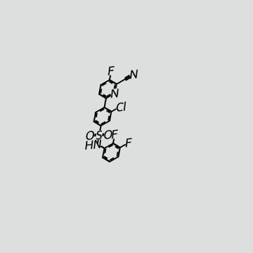 N#Cc1nc(-c2ccc(S(=O)(=O)Nc3cccc(F)c3F)cc2Cl)ccc1F